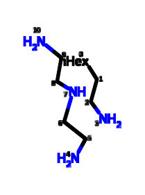 CCCCCCCCN.NCCNCCN